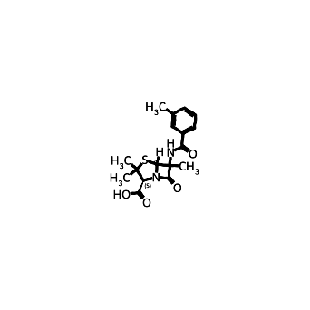 Cc1cccc(C(=O)NC2(C)C(=O)N3[C@@H](C(=O)O)C(C)(C)S[C@@H]32)c1